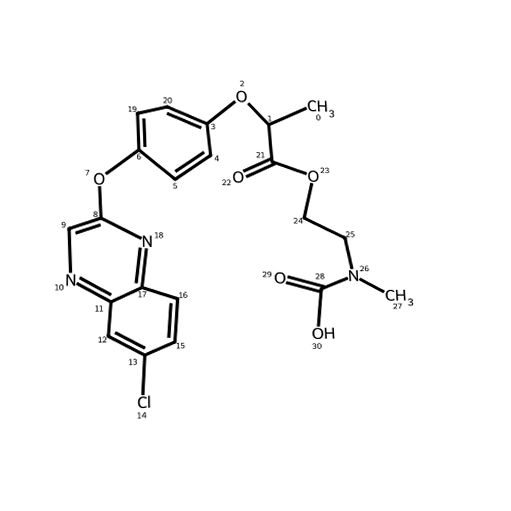 CC(Oc1ccc(Oc2cnc3cc(Cl)ccc3n2)cc1)C(=O)OCCN(C)C(=O)O